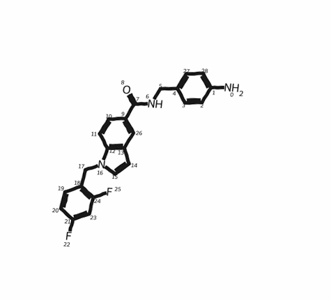 Nc1ccc(CNC(=O)c2ccc3c(ccn3Cc3ccc(F)cc3F)c2)cc1